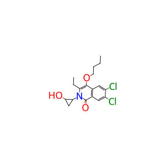 CCCCOc1c(CC)n(C2CC2O)c(=O)c2cc(Cl)c(Cl)cc12